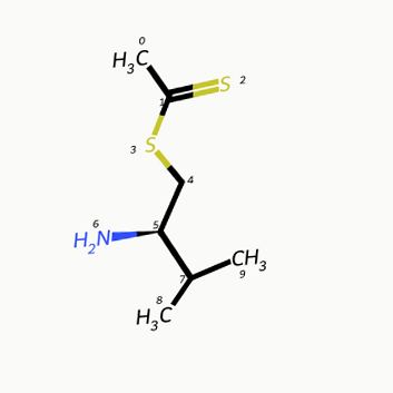 CC(=S)SC[C@H](N)C(C)C